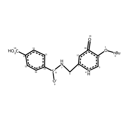 CCCCOc1c[nH]c(CN[S+]([O-])c2ccc(C(=O)O)cc2)cc1=O